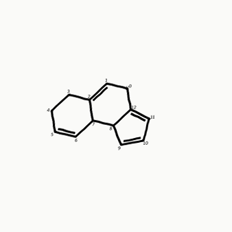 [C]1C=C2CCC=CC2C2C=CC=C12